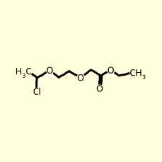 CCOC(=O)COCCOC(C)Cl